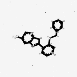 FC(F)(F)c1cnc2c(c1)N=C(c1ccncc1OCc1ccccc1)C2